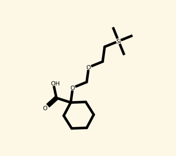 C[Si](C)(C)CCOCOC1(C(=O)O)CCCCC1